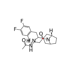 CC(=O)NCCC(=O)N1C2CC[C@H]1CC(C(N)Cc1cc(F)c(F)cc1F)C2